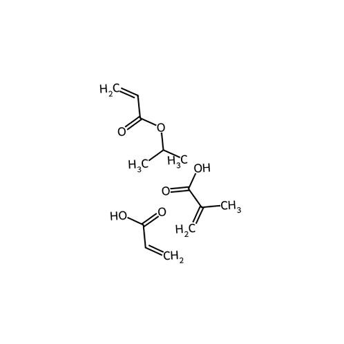 C=C(C)C(=O)O.C=CC(=O)O.C=CC(=O)OC(C)C